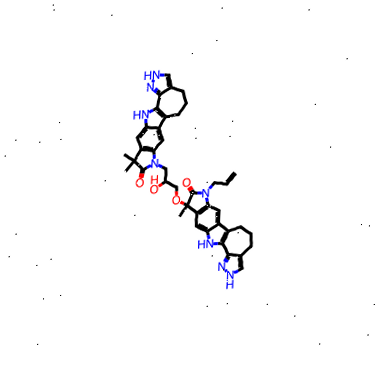 C=CCN1C(=O)C(C)(OCC(O)CN2C(=O)C(C)(C)c3cc4[nH]c5c(c4cc32)CCCc2c[nH]nc2-5)c2cc3[nH]c4c(c3cc21)CCCc1c[nH]nc1-4